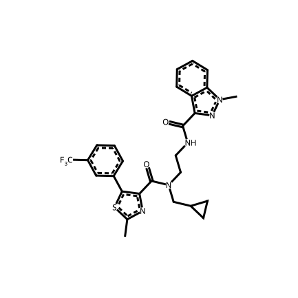 Cc1nc(C(=O)N(CCNC(=O)c2nn(C)c3ccccc23)CC2CC2)c(-c2cccc(C(F)(F)F)c2)s1